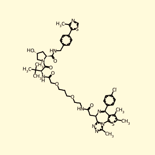 Cc1ncsc1-c1ccc(CNC(=O)[C@@H]2C[C@@H](O)CN2C(=O)[C@@H](NC(=O)COCCCOCCNC(=O)CC2N=C(c3ccc(Cl)cc3)c3c(sc(C)c3C)-n3c(C)nnc32)C(C)(C)C)cc1